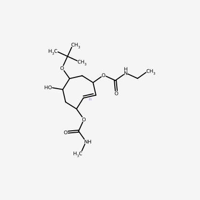 CCNC(=O)OC1/C=C/C(OC(=O)NC)CC(O)C(OC(C)(C)C)C1